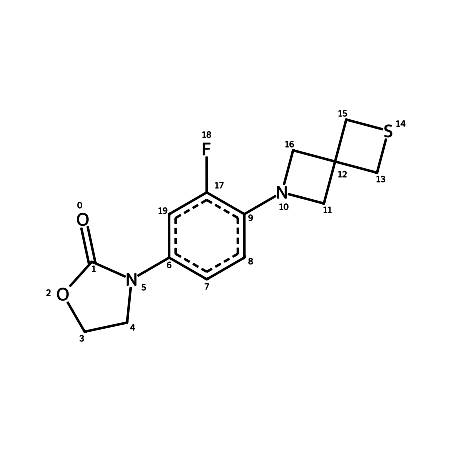 O=C1OCCN1c1ccc(N2CC3(CSC3)C2)c(F)c1